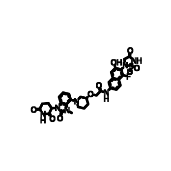 Cn1c(=O)n(C2CCC(=O)NC2=O)c2cccc(N3CCCC(OCC(=O)Nc4ccc5c(F)c(N6CC(=O)NS6(=O)=O)c(O)cc5c4)C3)c21